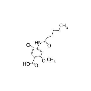 CCCCCC(=O)Nc1cc(OC)c(C(=O)O)cc1Cl